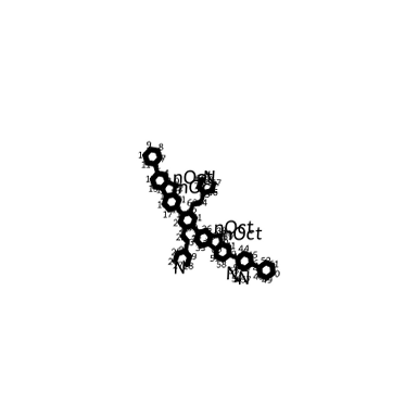 CCCCCCCCC1(CCCCCCCC)c2cc(-c3ccccc3)ccc2-c2ccc(-c3cc(/C=C/c4ccncc4)c(-c4ccc5c(c4)C(CCCCCCCC)(CCCCCCCC)c4cc(-c6ccc(-c7ccccc7)c7c6=NCN=7)ccc4-5)cc3/C=C/c3ccncc3)cc21